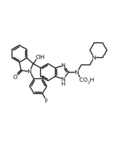 O=C(O)N(CCN1CCCCC1)c1nc2cc(C3(O)c4ccccc4C(=O)N3c3ccc(F)cc3)ccc2[nH]1